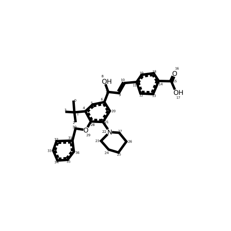 CC(C)(C)c1cc(C(O)/C=C/c2ccc(C(=O)O)cc2)cc(N2CCCCC2)c1OCc1ccccc1